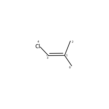 CC(C)=[C]Cl